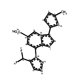 Cc1ccc(-c2cnc3c(-n4nncc4C(F)F)cc(C(=O)O)cn23)s1